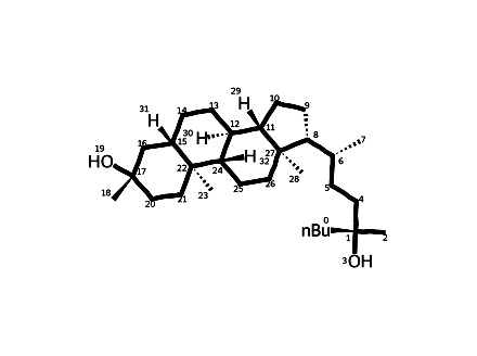 CCCC[C@@](C)(O)CC[C@@H](C)[C@H]1CC[C@H]2[C@@H]3CC[C@H]4C[C@@](C)(O)CC[C@]4(C)[C@H]3CC[C@]12C